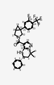 CC1(C)C[C@H](c2ccccc2)Nc2c(C(=O)N3CC4CC4(c4ccc(C(F)(F)F)c(F)c4)C3)cnn21